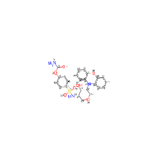 NC(=O)Oc1ccc(S(=O)(=O)NC2COCC(N3c4ccccc4Oc4ccccc43)C2O)cc1